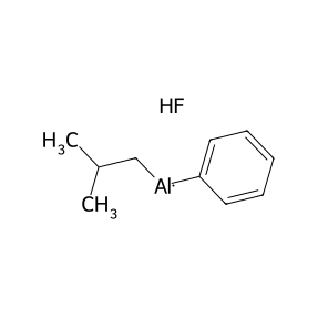 CC(C)[CH2][Al][c]1ccccc1.F